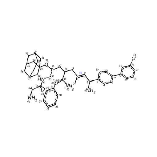 C/C(=C\C(N)c1ccc(-c2cccc(Cl)c2)cc1)CC(CP(OC12CC3CC(CC(C3)C1)C2)[C@H](Cc1ccccc1)NC(=O)CN)C(N)=O